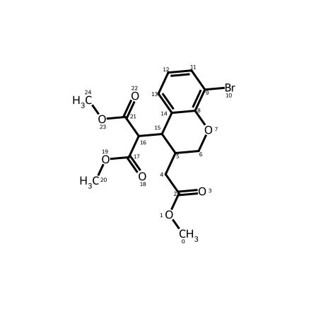 COC(=O)CC1COc2c(Br)cccc2C1C(C(=O)OC)C(=O)OC